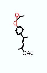 CC(=O)O/C(C)=C/C=C(\C)c1ccc(OC2OC2C)cc1